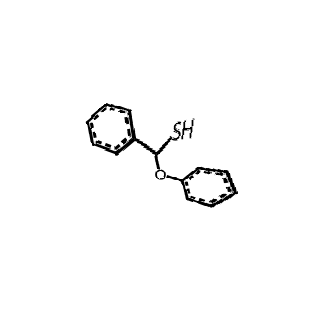 SC(Oc1ccccc1)c1ccccc1